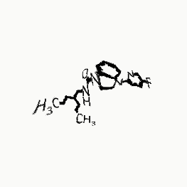 CCCC(CCC)CNC(=O)N1CCN(c2ccc(F)cn2)c2ccccc21